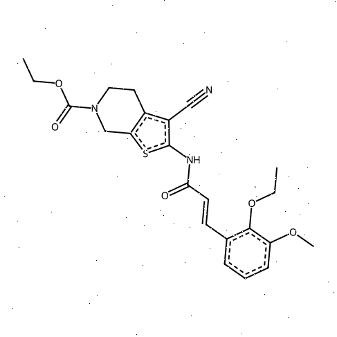 CCOC(=O)N1CCc2c(sc(NC(=O)C=Cc3cccc(OC)c3OCC)c2C#N)C1